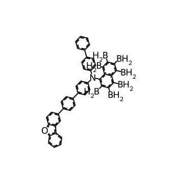 Bc1c(B)c(B)c2c(N(c3ccc(-c4ccccc4)cc3)c3ccc(-c4ccc(-c5ccc6oc7ccccc7c6c5)cc4)cc3)c(B)c(B)c(B)c2c1B